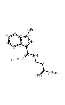 CCCCCC(=N)CCNC(=O)c1nn(C(C)C)c2ccccc12.Cl